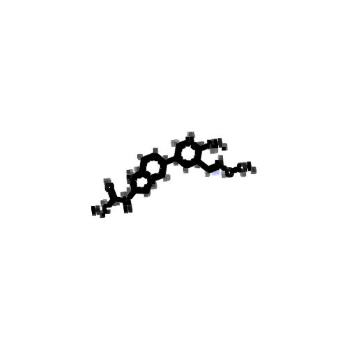 CO/N=C/c1cc(-c2ccc3nc(NC(C)=O)cn3c2)cnc1N